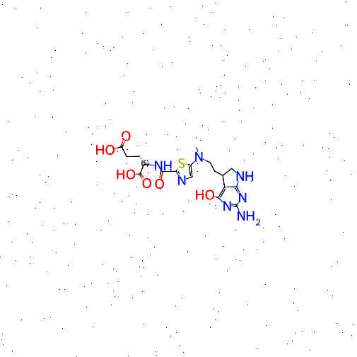 CN(CCC1CNc2nc(N)nc(O)c21)c1cnc(C(=O)N[C@@H](CCC(=O)O)C(=O)O)s1